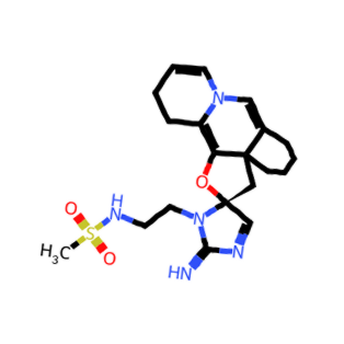 CS(=O)(=O)NCCN1C(=N)N=C[C@]12CC13CCCCC1=CN1C=CCCC1=C3O2